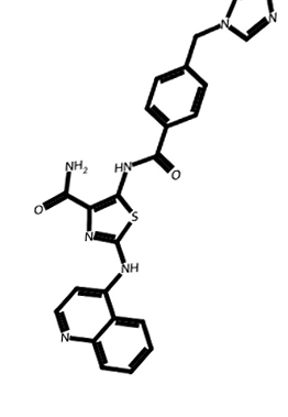 NC(=O)c1nc(Nc2ccnc3ccccc23)sc1NC(=O)c1ccc(Cn2ccnc2)cc1